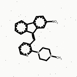 CN1CCN(c2ncccc2C=C2c3ccccc3-c3ccc([N+](=O)[O-])cc32)CC1